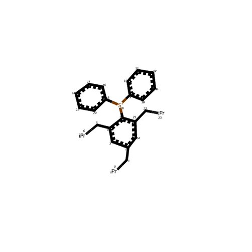 CC(C)Cc1cc(CC(C)C)c([S+](c2ccccc2)c2ccccc2)c(CC(C)C)c1